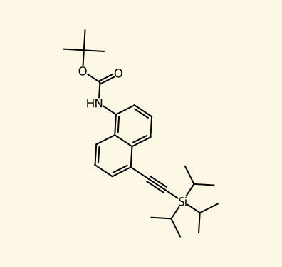 CC(C)[Si](C#Cc1cccc2c(NC(=O)OC(C)(C)C)cccc12)(C(C)C)C(C)C